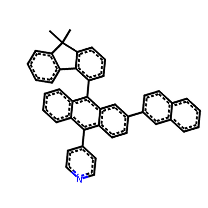 CC1(C)c2ccccc2-c2c(-c3c4ccccc4c(-c4ccncc4)c4ccc(-c5ccc6ccccc6c5)cc34)cccc21